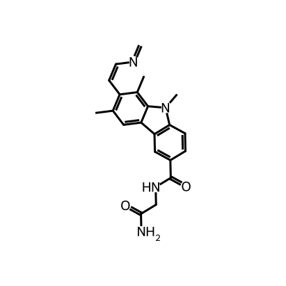 C=N/C=C\c1c(C)cc2c3cc(C(=O)NCC(N)=O)ccc3n(C)c2c1C